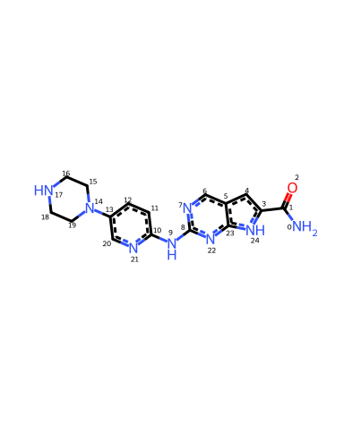 NC(=O)c1cc2cnc(Nc3ccc(N4CCNCC4)cn3)nc2[nH]1